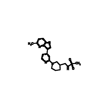 Cc1ccc2ncc(-c3ccnc(N4CCCC(CNS(C)(=O)=O)C4)c3)n2n1